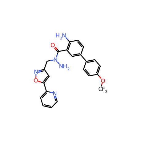 Nc1ccc(-c2ccc(OC(F)(F)F)cc2)cc1C(=O)N(N)Cc1cc(-c2ccccn2)on1